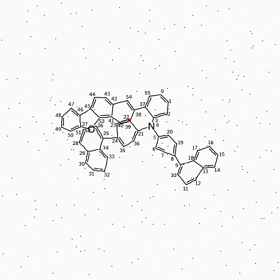 c1ccc(N(c2ccc(-c3cccc4ccccc34)cc2)c2ccc(-c3cccc4ccccc34)cc2)c(-c2ccc3c(ccc4c5ccccc5oc34)c2)c1